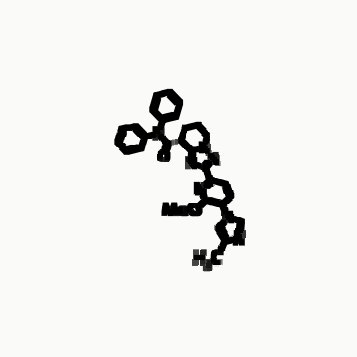 COc1nc(-c2nc3n(n2)CCC[C@H]3C(=O)N(c2ccccc2)c2ccccc2)ccc1-n1cnc(C)c1